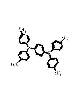 Cc1ccc(B(c2ccc(C)cc2)c2ccc(B(c3ccc(C)cc3)c3ccc(C)cc3)cc2)cc1